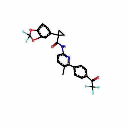 Cc1ccc(NC(=O)C2(c3ccc4c(c3)OC(F)(F)O4)CC2)nc1-c1ccc(C(=O)C(F)(F)F)cc1